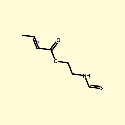 C/C=C/C(=O)OCCNC=S